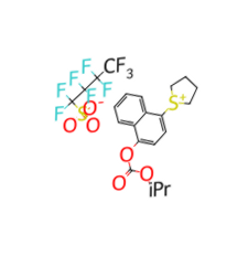 CC(C)OC(=O)Oc1ccc([S+]2CCCC2)c2ccccc12.O=S(=O)([O-])C(F)(F)C(F)(F)C(F)(F)C(F)(F)F